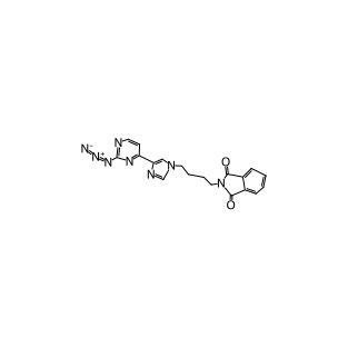 [N-]=[N+]=Nc1nccc(-c2cn(CCCCN3C(=O)c4ccccc4C3=O)cn2)n1